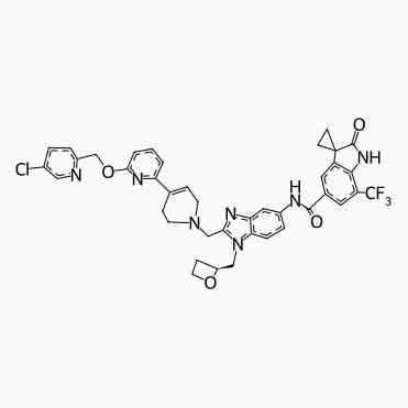 O=C(Nc1ccc2c(c1)nc(CN1CC=C(c3cccc(OCc4ccc(Cl)cn4)n3)CC1)n2C[C@@H]1CCO1)c1cc(C(F)(F)F)c2c(c1)C1(CC1)C(=O)N2